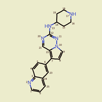 c1cnc2ccc(-c3ccn4nc(NC5CCNCC5)ncc34)cc2c1